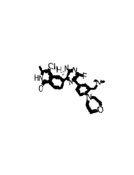 Cc1[nH]c(=O)c2ccc(-c3nc(-c4ccc(N5CCOCC5)c(CN(C)C)c4)c(F)nc3N)cc2c1Cl